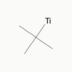 C[C](C)(C)[Ti]